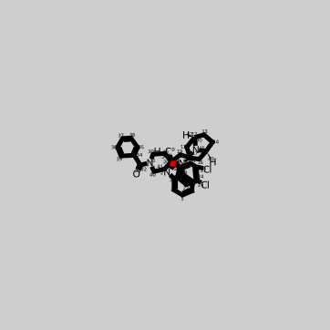 Cc1nc2ccccc2n1[C@H]1C[C@H]2CC[C@@H](C1)N2CCC1(c2ccc(Cl)c(Cl)c2)CCN(C(=O)c2ccccc2)CC1